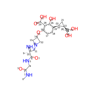 CNC(=O)CNC(=O)[C@@](C)(N)CN1CC(Oc2ccc([C@H]3C[C@H]3B(O)O)c(O)c2C(=O)O)C1